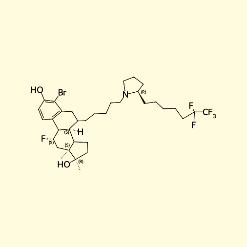 C[C@]12C[C@H](F)C3c4ccc(O)c(Br)c4CC(CCCCCN4CCC[C@H]4CCCCCC(F)(F)C(F)(F)F)[C@H]3C1CC[C@@]2(C)O